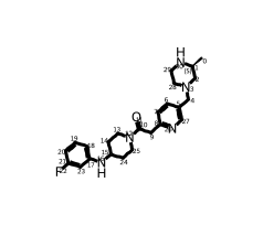 C[C@H]1CN(Cc2ccc(CC(=O)N3CCC(Nc4cccc(F)c4)CC3)nc2)CCN1